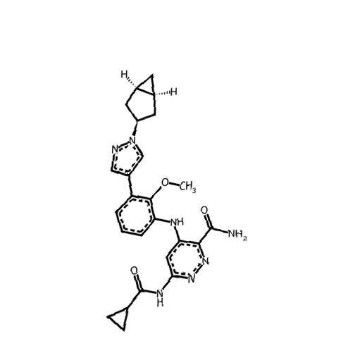 COc1c(Nc2cc(NC(=O)C3CC3)nnc2C(N)=O)cccc1-c1cnn([C@H]2C[C@H]3C[C@H]3C2)c1